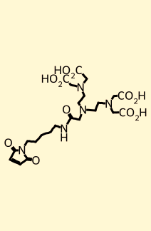 O=C(O)CN(CCN(CCN(CC(=O)O)CC(=O)O)CC(=O)NCCCCCN1C(=O)C=CC1=O)CC(=O)O